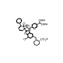 COC(OC)c1ccc(C(=O)NC2(c3nc4cc(CN5CCCC[C@H]5C(=O)O)cc(Cl)c4o3)C=CC=C(c3ccccc3)C2(C)Cl)nc1